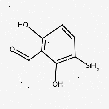 O=Cc1c(O)ccc([SiH3])c1O